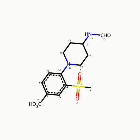 CS(=O)(=O)c1cc(C(=O)O)ccc1N1CCC(NC=O)CC1